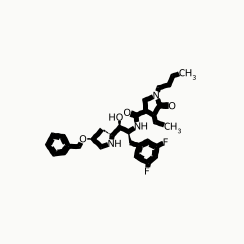 CCCCN1CC(C(=O)N[C@@H](Cc2cc(F)cc(F)c2)[C@H](O)[C@H]2C[C@@H](OCc3ccccc3)CN2)C(CC)C1=O